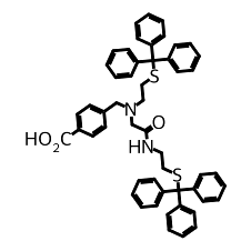 O=C(CN(CCSC(c1ccccc1)(c1ccccc1)c1ccccc1)Cc1ccc(C(=O)O)cc1)NCCSC(c1ccccc1)(c1ccccc1)c1ccccc1